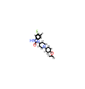 Cc1cc2c(cc1F)[nH]c(=O)n2C1CCN([C@H]2CC[C@H](OC(C)C)CC2)CC1